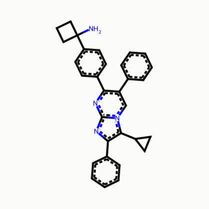 NC1(c2ccc(-c3nc4nc(-c5ccccc5)c(C5CC5)n4cc3-c3ccccc3)cc2)CCC1